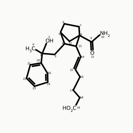 CC(O)(CC1C2CCC(C(N)=O)(C2)C1C=CCCCC(=O)O)c1ccccc1